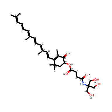 CC(C)=C/C=C/C=C(C)/C=C/C=C(C)/C=C/C1=C(C)C(=O)C(OC(=O)CCC(=O)NC(CO)(CO)CO)CC1(C)C